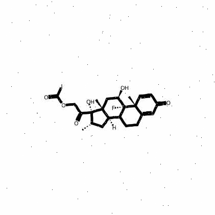 C[C@H]1C[C@@H]2C3CCC4=CC(=O)C=C[C@@]4(C)[C@]3(F)[C@H](O)C[C@@]2(C)[C@]1(O)C(=O)COC(=O)I